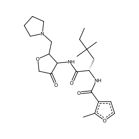 CCC(C)(C)C[C@H](NC(=O)c1ccoc1C)C(=O)NC1C(=O)COC1CN1CCCC1